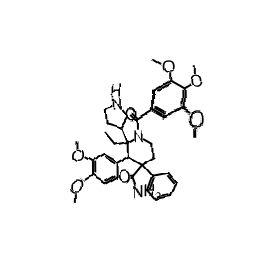 CCC1(C2CCNC2)C(c2ccc(OC)c(OC)c2)C(C(N)=O)(c2ccccc2)CCN1C(=O)c1cc(OC)c(OC)c(OC)c1